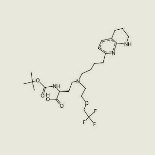 CC(C)(C)OC(=O)N[C@@H](CCN(CCCCc1ccc2c(n1)NCCC2)CCOCC(F)(F)F)C(=O)O